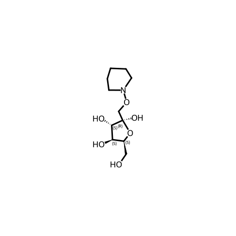 OC[C@@H]1O[C@](O)(CON2CCCCC2)[C@@H](O)[C@@H]1O